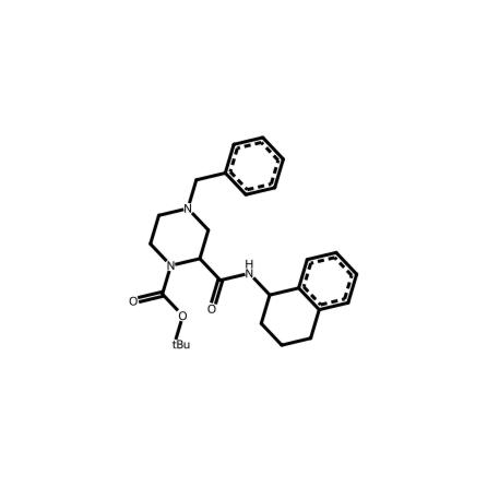 CC(C)(C)OC(=O)N1CCN(Cc2ccccc2)CC1C(=O)NC1CCCc2ccccc21